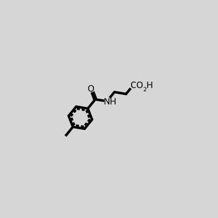 Cc1ccc(C(=O)NCCC(=O)O)cc1